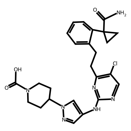 NC(=O)C1(c2ccccc2CCc2nc(Nc3cnn(C4CCN(C(=O)O)CC4)c3)ncc2Cl)CC1